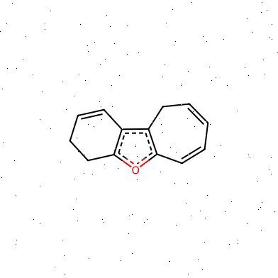 C1=CCc2c(oc3c2C=CCC3)C=C1